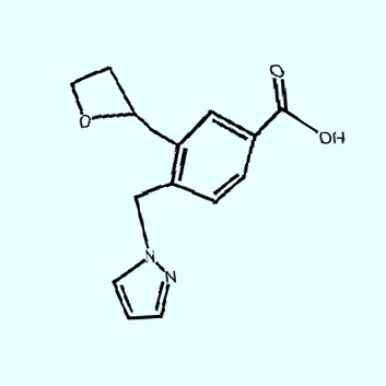 O=C(O)c1ccc(Cn2cccn2)c(C2CCO2)c1